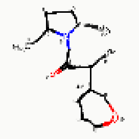 CC(C)C(C(=O)N1C(C)CC[C@H]1C(C)C)C1CCCOC1